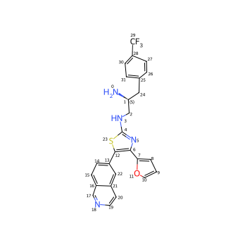 N[C@H](CNc1nc(-c2ccco2)c(-c2ccc3cnccc3c2)s1)Cc1ccc(C(F)(F)F)cc1